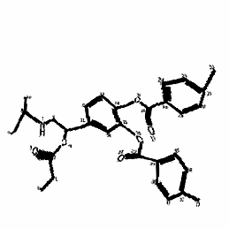 CCC(=O)OC(CNC(C)C)c1ccc(OC(=O)c2ccc(C)cc2)c(OC(=O)c2ccc(C)cc2)c1